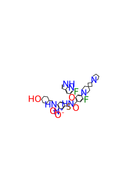 O=C(NSc1ccc(NCC2CCC(O)CC2)c([N+](=O)[O-])c1)c1cc(F)c(N2CCC3(CC2)CC(N2CCCC2)C3)c(F)c1Oc1cnc2[nH]ccc2c1